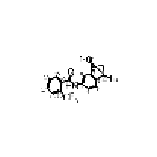 O=C(Nc1ccc2c(c1)B(O)OC2I)c1ccccc1C(F)(F)F